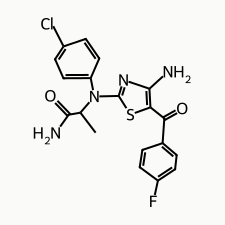 CC(C(N)=O)N(c1ccc(Cl)cc1)c1nc(N)c(C(=O)c2ccc(F)cc2)s1